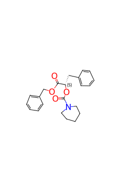 O=C(OCc1ccccc1)[C@H](Cc1ccccc1)OC(=O)N1CCCCC1